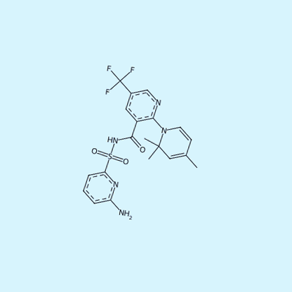 CC1=CC(C)(C)N(c2ncc(C(F)(F)F)cc2C(=O)NS(=O)(=O)c2cccc(N)n2)C=C1